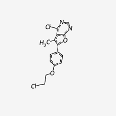 Cc1c(-c2ccc(OCCCl)cc2)oc2ncnc(Cl)c12